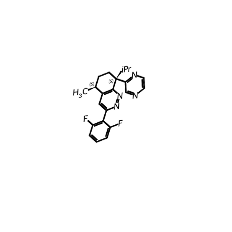 CC(C)[C@]1(c2cnccn2)CC[C@H](C)c2cc(-c3c(F)cccc3F)nnc21